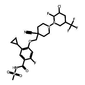 CS(=O)(=O)NC(=O)c1cc(C2CC2)c(OCC2(C#N)CCN(N3CC(C(F)(F)F)CC(Cl)C3F)CC2)cc1F